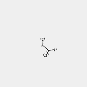 ClCC(Cl)I